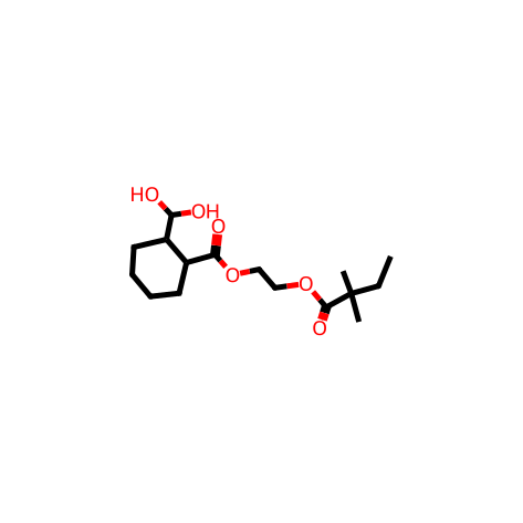 CCC(C)(C)C(=O)OCCOC(=O)C1CCCCC1C(O)O